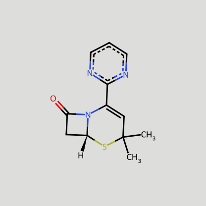 CC1(C)C=C(c2ncccn2)N2C(=O)C[C@H]2S1